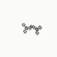 c1ccc(-c2cc(-c3ccccc3)nc(-c3ccc4c(c3)oc3ccc(-c5nc(-c6ccccc6)nc(-c6ccccc6)n5)cc34)n2)cc1